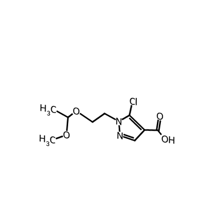 COC(C)OCCn1ncc(C(=O)O)c1Cl